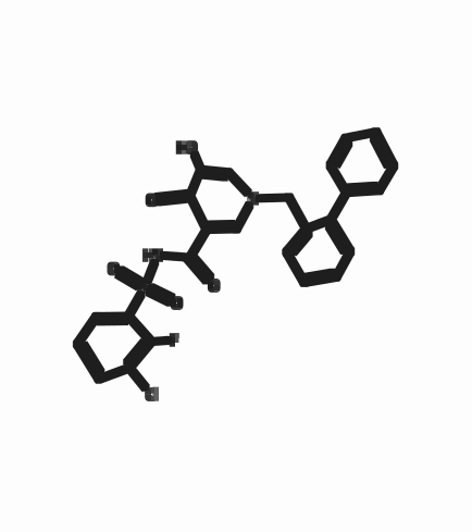 O=C(NS(=O)(=O)c1cccc(Cl)c1F)c1cn(Cc2ccccc2-c2ccccc2)cc(O)c1=O